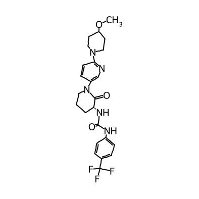 COC1CCN(c2ccc(N3CCC[C@@H](NC(=O)Nc4ccc(C(F)(F)F)cc4)C3=O)cn2)CC1